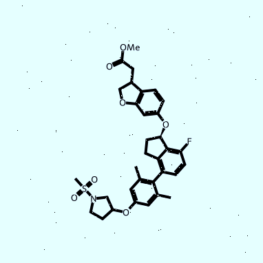 COC(=O)CC1COc2cc(O[C@@H]3CCc4c(-c5c(C)cc(OC6CCN(S(C)(=O)=O)C6)cc5C)ccc(F)c43)ccc21